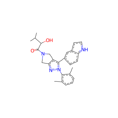 Cc1cccc(C)c1-n1nc2c(c1-c1ccc3[nH]ccc3c1)CN(C(=O)C(O)C(C)C)C2